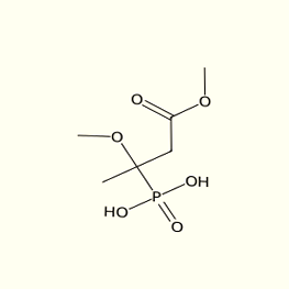 COC(=O)CC(C)(OC)P(=O)(O)O